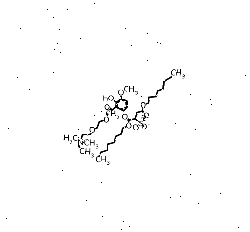 CCCCCCCCOC(=O)CC(C(=O)OCCCCCCCC)S(=O)(=O)[O-].CC[N+](C)(C)CCOCCOC.COc1cccc(C=O)c1O